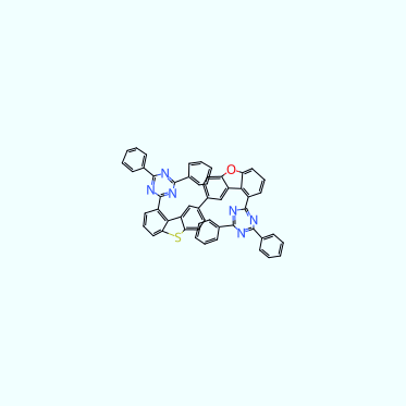 c1ccc(-c2nc(-c3ccccc3)nc(-c3cccc4oc5ccc(-c6ccc7sc8cccc(-c9nc(-c%10ccccc%10)nc(-c%10ccccc%10)n9)c8c7c6)cc5c34)n2)cc1